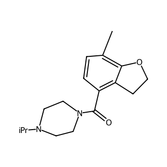 Cc1ccc(C(=O)N2CCN(C(C)C)CC2)c2c1OCC2